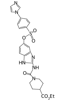 CCOC(=O)C1CCN(C(=O)Nc2nc3cc(OS(=O)(=O)c4ccc(-n5ccnc5)cc4)ccc3[nH]2)CC1